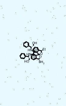 B[C@H]1O[C@@]2(O[C@H](CC)c3cccc(C(=O)N[C@@H](CO)c4ccccc4)c32)c2c(C(=O)N[C@@H](CO)c3ccccc3)cccc21